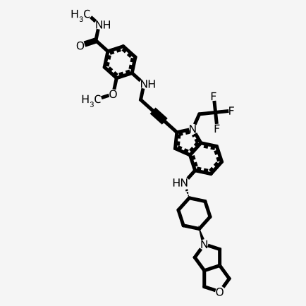 CNC(=O)c1ccc(NCC#Cc2cc3c(N[C@H]4CC[C@H](N5CC6COCC6C5)CC4)cccc3n2CC(F)(F)F)c(OC)c1